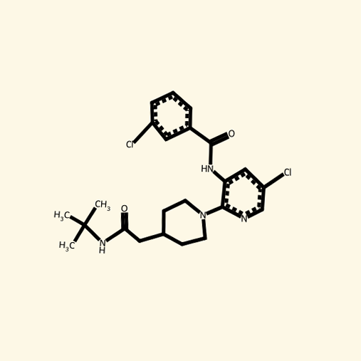 CC(C)(C)NC(=O)CC1CCN(c2ncc(Cl)cc2NC(=O)c2cccc(Cl)c2)CC1